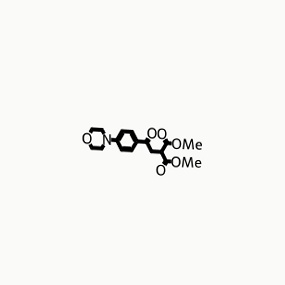 COC(=O)C(CC(=O)c1ccc(N2CCOCC2)cc1)C(=O)OC